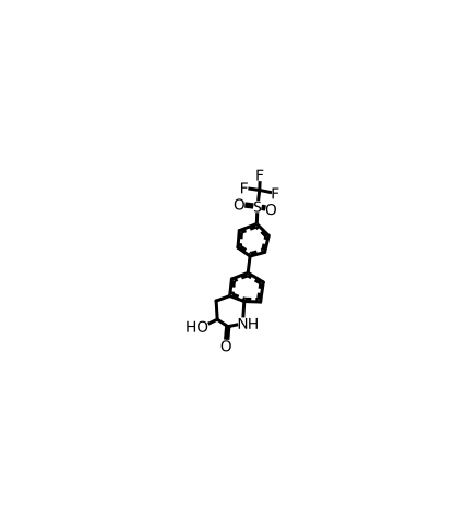 O=C1Nc2ccc(-c3ccc(S(=O)(=O)C(F)(F)F)cc3)cc2CC1O